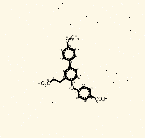 O=C(O)CCc1cc(-c2ccc(OC(F)(F)F)cc2)ccc1Oc1ccc(C(=O)O)cc1